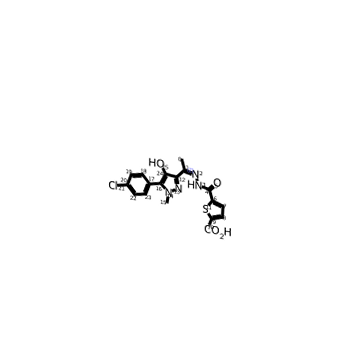 C/C(=N/NC(=O)c1ccc(C(=O)O)s1)c1nn(C)c(-c2ccc(Cl)cc2)c1O